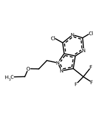 CCOCCn1nc(C(F)(F)F)c2nc(Cl)nc(Cl)c21